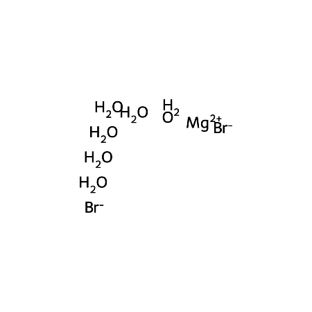 O.O.O.O.O.O.[Br-].[Br-].[Mg+2]